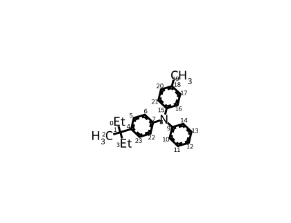 CCC(C)(CC)c1ccc(N(c2ccccc2)c2ccc(C)cc2)cc1